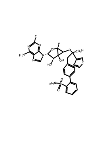 CNS(=O)(=O)c1ccccc1-c1ccc(CC(OC2[C@H]3O[C@@H](n4cnc5c(N)nc(Cl)nc54)[C@H](O)[C@@]23O)(C(=O)O)c2cscn2)cc1